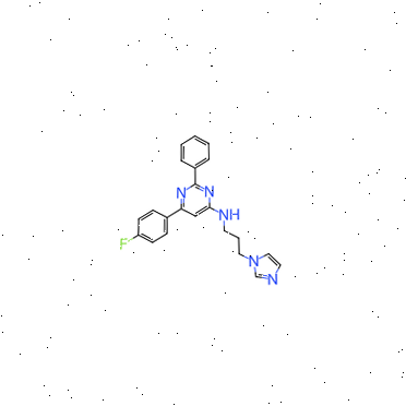 Fc1ccc(-c2cc(NCCCn3ccnc3)nc(-c3ccccc3)n2)cc1